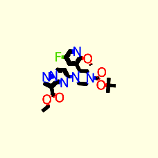 CCOC(=O)c1cnn2ccc(N3CCN(C(=O)OC(C)(C)C)CC3c3cc(F)cnc3OC)nc12